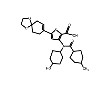 CC1CCC(C(=O)N(c2cc(C3=CCC4(CC3)OCCO4)sc2C(=O)O)C2CCC(O)CC2)CC1